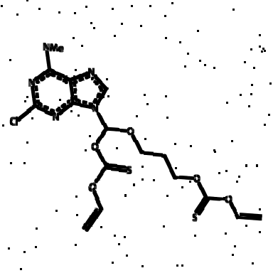 C=COC(=S)OCCCOC(OC(=S)OC=C)n1cnc2c(NC)nc(Cl)nc21